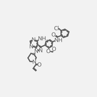 C=CC(=O)N1CCC[C@@H](n2nc(-c3ccc(NC(=O)c4ccccc4Cl)c4c3OCO4)c3c(N)ncnc32)C1